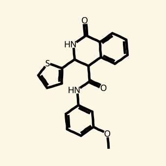 COc1cccc(NC(=O)C2c3ccccc3C(=O)NC2c2cccs2)c1